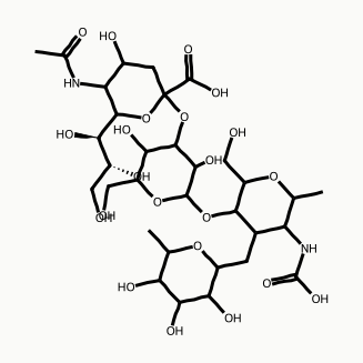 CC(=O)NC1C(O)CC(OC2C(O)C(CO)OC(OC3C(CO)OC(C)C(NC(=O)O)C3CC3OC(C)C(O)C(O)C3O)C2O)(C(=O)O)OC1[C@H](O)[C@H](O)CO